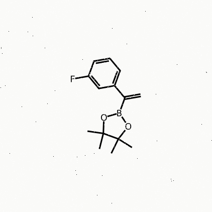 C=C(B1OC(C)(C)C(C)(C)O1)c1cccc(F)c1